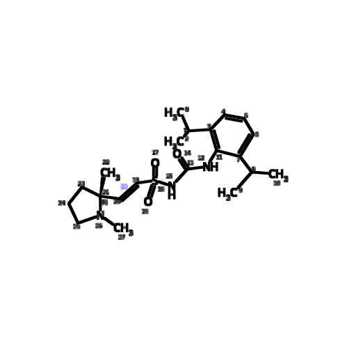 CC(C)c1cccc(C(C)C)c1NC(=O)NS(=O)(=O)/C=C/[C@@]1(C)CCCN1C